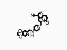 N#Cc1cnc2ccc(=O)n3c2c1CC3CN1CCC(NCc2cc3c(cn2)OCCO3)CC1